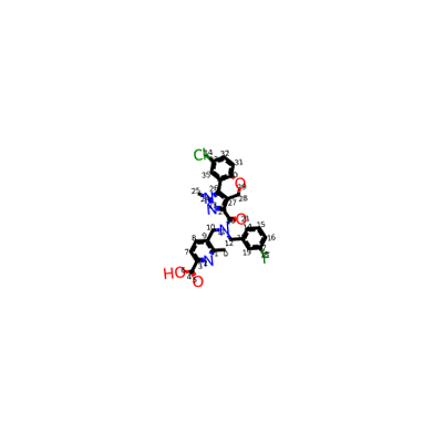 Cc1nc(C(=O)O)ccc1CN(Cc1cccc(F)c1)C(=O)c1nn(C)c2c1COc1ccc(Cl)cc1-2